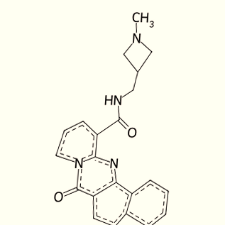 CN1CC(CNC(=O)c2cccn3c(=O)c4ccc5ccccc5c4nc23)C1